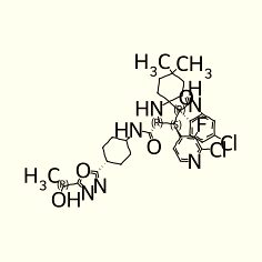 C[C@@H](O)c1nnc([C@H]2CC[C@H](NC(=O)[C@@H]3NC4(CCC(C)(C)CC4)[C@@]4(C(=O)Nc5cc(Cl)ccc54)[C@H]3c3ccnc(Cl)c3F)CC2)o1